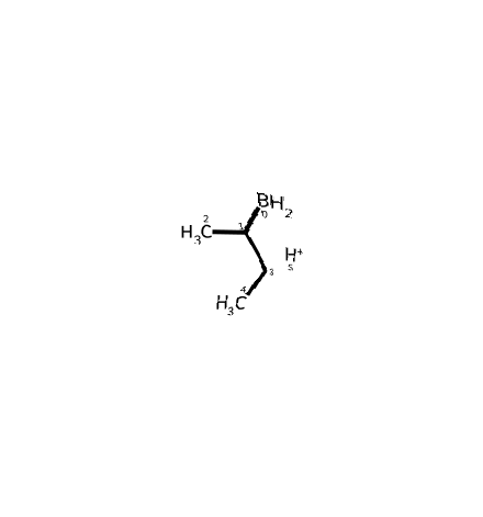 BC(C)CC.[H+]